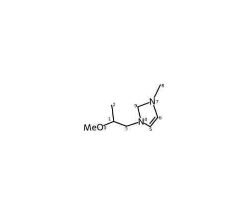 COC(C)CN1C=CN(C)C1